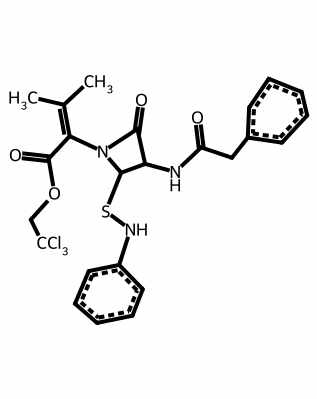 CC(C)=C(C(=O)OCC(Cl)(Cl)Cl)N1C(=O)C(NC(=O)Cc2ccccc2)C1SNc1ccccc1